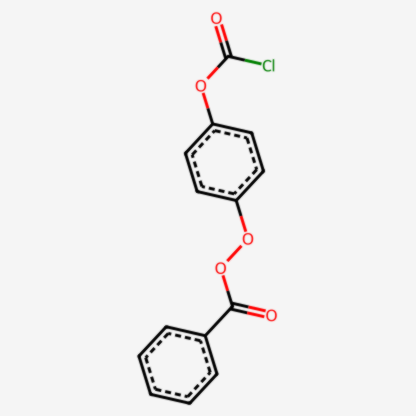 O=C(Cl)Oc1ccc(OOC(=O)c2ccccc2)cc1